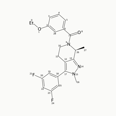 CCOc1cccc(C(=O)N2CCc3c(nn(C)c3-c3cc(F)cc(F)c3)[C@@H]2C)c1